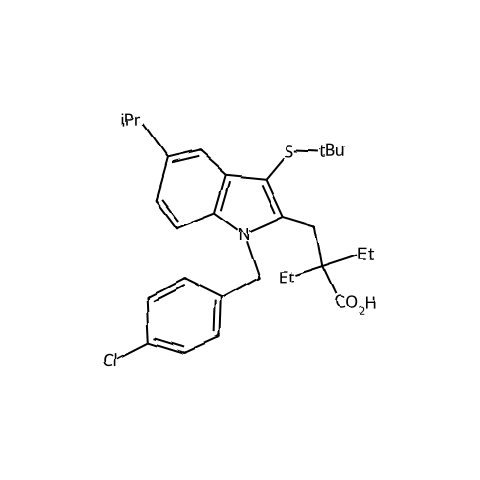 CCC(CC)(Cc1c(SC(C)(C)C)c2cc(C(C)C)ccc2n1Cc1ccc(Cl)cc1)C(=O)O